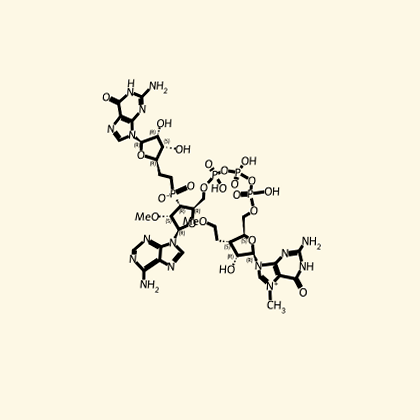 COCC[C@H]1[C@@H](O)[C@H](n2c[n+](C)c3c(=O)[nH]c(N)nc32)O[C@@H]1COP(=O)(O)OP(=O)(O)OP(=O)(O)OC[C@H]1O[C@@H](n2cnc3c(N)ncnc32)[C@H](OC)[C@@H]1P(=O)([O-])CC[C@H]1O[C@@H](n2cnc3c(=O)[nH]c(N)nc32)[C@H](O)[C@@H]1O